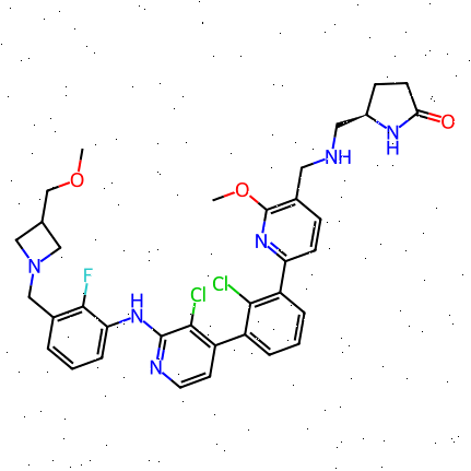 COCC1CN(Cc2cccc(Nc3nccc(-c4cccc(-c5ccc(CNC[C@H]6CCC(=O)N6)c(OC)n5)c4Cl)c3Cl)c2F)C1